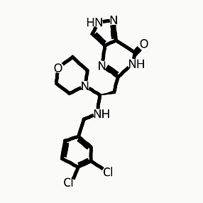 O=c1[nH]c(C[C@@H](NCc2ccc(Cl)c(Cl)c2)N2CCOCC2)nc2c[nH]nc12